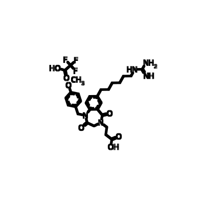 COc1ccc(CN2C(=O)CN(CCC(=O)O)C(=O)c3cc(CCCCCCNC(=N)N)ccc32)cc1.O=C(O)C(F)(F)F